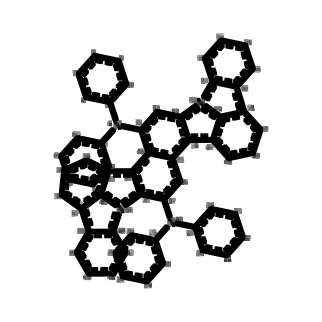 c1ccc(N(c2ccccc2)c2cc3c(c4cc(N(c5ccccc5)c5ccccc5)c5c(c6cccc7c8ccccc8n5c76)c24)c2cccc4c5ccccc5n3c42)cc1